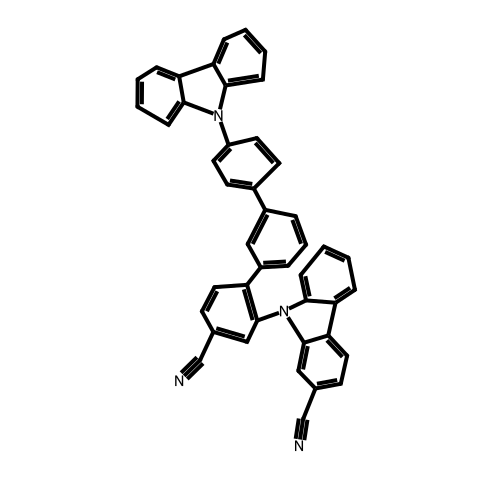 N#Cc1ccc(-c2cccc(-c3ccc(-n4c5ccccc5c5ccccc54)cc3)c2)c(-n2c3ccccc3c3ccc(C#N)cc32)c1